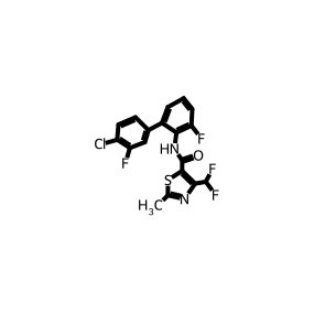 Cc1nc(C(F)F)c(C(=O)Nc2c(F)cccc2-c2ccc(Cl)c(F)c2)s1